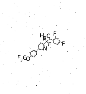 C=C(c1ccc(F)cc1F)C(F)(F)c1ccc(-c2ccc(OC(F)(F)F)cc2)cn1